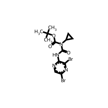 CC(C)(C)OC(=O)N(C(=O)Nc1ncc(Br)nc1Br)C1CC1